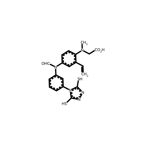 C=Cc1cc(N(C=O)c2cccc(-n3c(S)nnc3S)c2)ccc1N(C)CC(=O)O